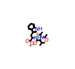 COC(=O)C(Cc1c[nH]c2ccccc12)NC(=O)C(C(C)C)N(C(C)=O)C(C)=S